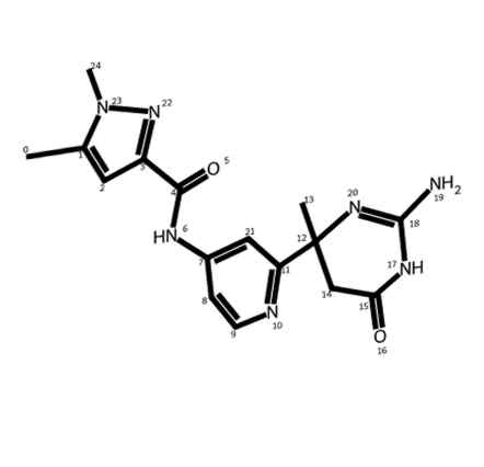 Cc1cc(C(=O)Nc2ccnc(C3(C)CC(=O)NC(N)=N3)c2)nn1C